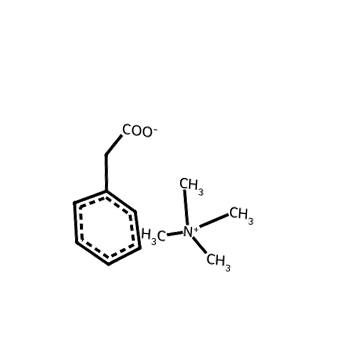 C[N+](C)(C)C.O=C([O-])Cc1ccccc1